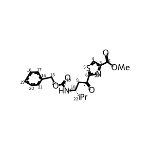 COC(=O)c1csc(C(=O)C[C@@H](NC(=O)OCc2ccccc2)C(C)C)n1